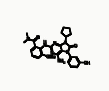 COc1cccc(C(=O)N(C)C)c1Nc1nc(N)c2c(n1)n(C1CCCC1)c(=O)n2-c1cccc(O)c1